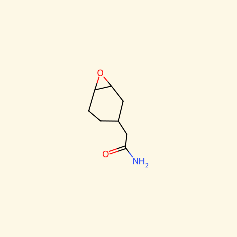 NC(=O)CC1CCC2OC2C1